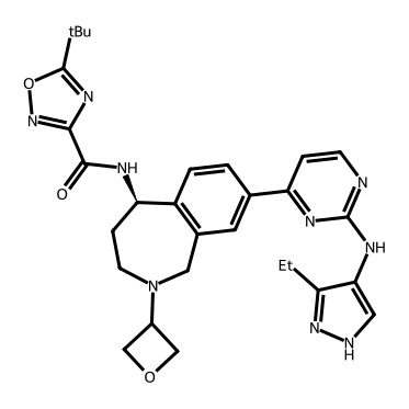 CCc1n[nH]cc1Nc1nccc(-c2ccc3c(c2)CN(C2COC2)CC[C@H]3NC(=O)c2noc(C(C)(C)C)n2)n1